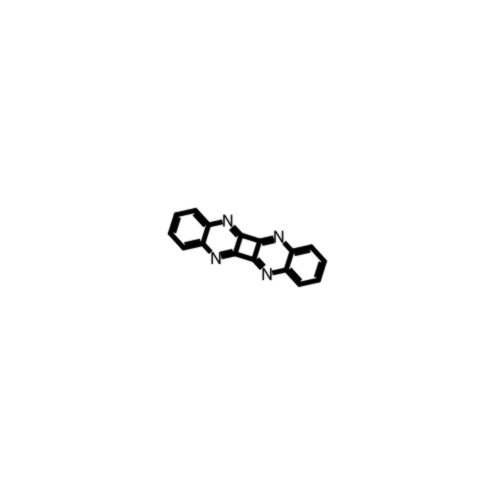 c1ccc2nc3c(nc2c1)-c1nc2ccccc2nc1-3